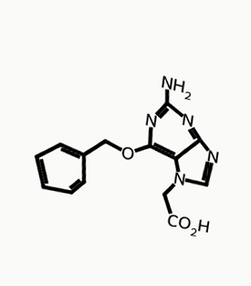 Nc1nc(OCc2ccccc2)c2c(ncn2CC(=O)O)n1